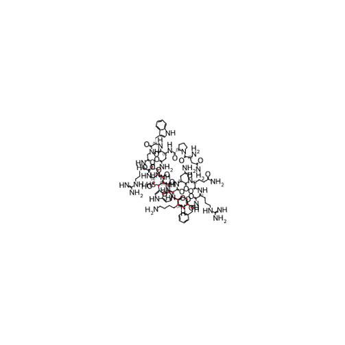 N=C(N)NCCC[C@H](NC(=O)CNC(=O)[C@H](Cc1c[nH]c2ccccc12)NC(=O)[C@H](CC(N)=O)NC(=O)[C@@H]1CCCN1C(=O)[C@@H](N)CC(N)=O)C(=O)N[C@@H](CO)C(=O)N[C@@H](Cc1c[nH]c2ccccc12)C(=O)N[C@@H](Cc1ccc(O)cc1)C(=O)N[C@@H](CC(N)=O)C(=O)N[C@@H](CCC(N)=O)C(=O)N[C@@H](CCCNC(=N)N)C(=O)N[C@@H](Cc1ccccc1)C(=O)N[C@@H](CCCCN)C(=O)NCC(=O)N[C@@H](CS)C(=O)NCC(=O)O